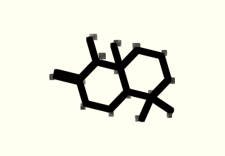 C=C1CCC2C(C)(C)CCCC2(C)C1C